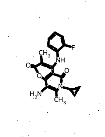 Cc1c(Nc2ccccc2F)c2c(=O)n(C3CC3)c(C)c(N)c2oc1=O